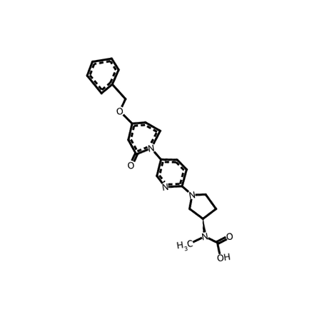 CN(C(=O)O)[C@@H]1CCN(c2ccc(-n3ccc(OCc4ccccc4)cc3=O)cn2)C1